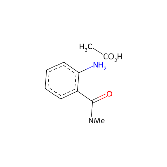 CC(=O)O.CNC(=O)c1ccccc1N